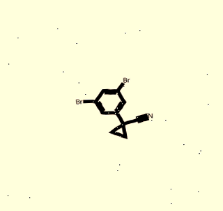 N#CC1(c2cc(Br)cc(Br)c2)CC1